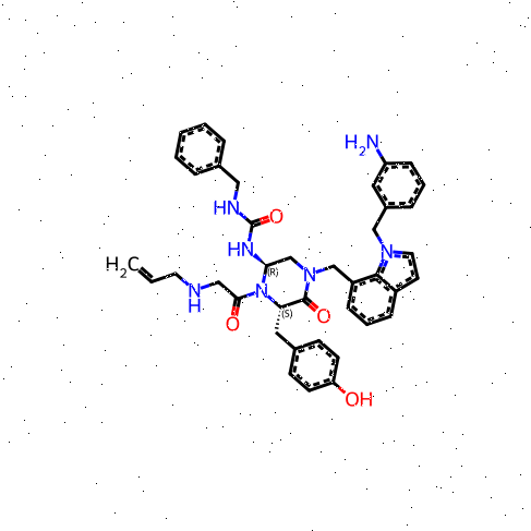 C=CCNCC(=O)N1[C@@H](NC(=O)NCc2ccccc2)CN(Cc2cccc3ccn(Cc4cccc(N)c4)c23)C(=O)[C@@H]1Cc1ccc(O)cc1